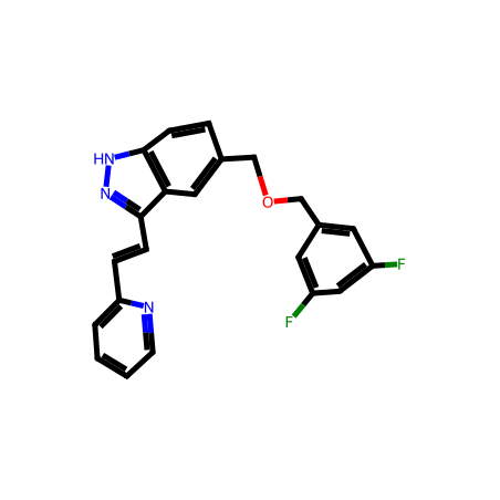 Fc1cc(F)cc(COCc2ccc3[nH]nc(C=Cc4ccccn4)c3c2)c1